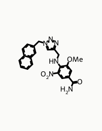 COc1cc(C(N)=O)cc([N+](=O)[O-])c1NCc1cn(Cc2ccc3ccccc3c2)nn1